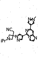 CC(C)N1CC(CC#N)(n2cc(-c3nc(-c4cnn(C)c4)cc4nccn34)cn2)C1